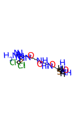 Nc1ncnc2c1nc(Sc1cc(Cl)cc(Cl)c1)n2CCCNC(=O)CCCCCNC(=O)CCCCCNC(=O)CCCC[C@H]1SC[C@@H]2NC(=O)N[C@@H]21